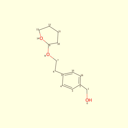 OCc1ccc(CCOC2CCCCO2)cc1